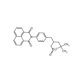 CC(C)(C)CC(CC=O)Cc1ccc(N2C(=O)c3cccc4cccc(c34)C2=O)cc1